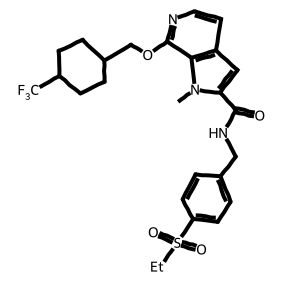 CCS(=O)(=O)c1ccc(CNC(=O)c2cc3ccnc(OCC4CCC(C(F)(F)F)CC4)c3n2C)cc1